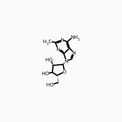 Cc1nc(N)c2ncn([C@@H]3O[C@H](CO)C(O)[C@H]3O)c2n1